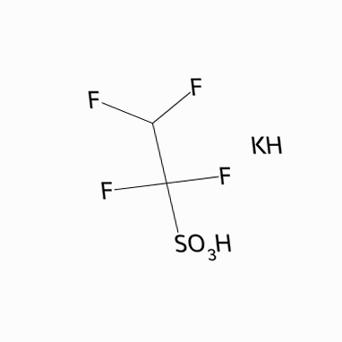 O=S(=O)(O)C(F)(F)C(F)F.[KH]